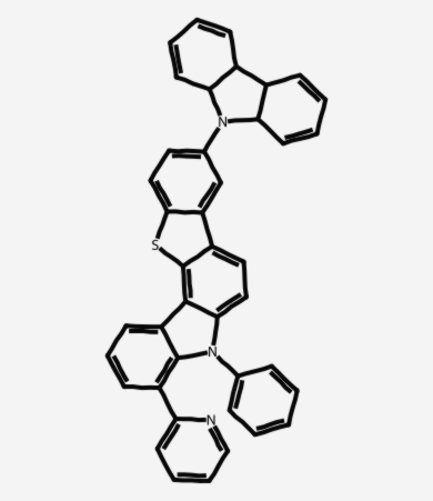 C1=CC2C3C=CC=CC3N(c3ccc4sc5c(ccc6c5c5cccc(-c7ccccn7)c5n6-c5ccccc5)c4c3)C2C=C1